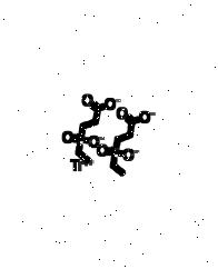 CCP(=O)([O-])CCC(=O)[O-].CCP(=O)([O-])CCC(=O)[O-].[Ti+4]